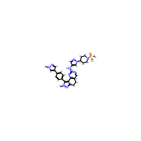 Cn1cc(-c2ccc(-c3c4c(nn3C)CCc3cnc(Nc5cnn(C6CCN(S(C)(=O)=O)CC6)c5)nc3-4)cc2)cn1